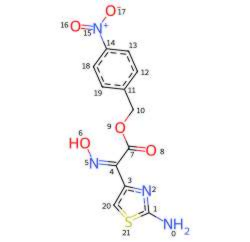 Nc1nc(C(=NO)C(=O)OCc2ccc([N+](=O)[O-])cc2)cs1